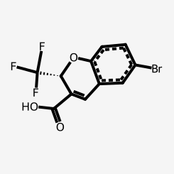 O=C(O)C1=Cc2cc(Br)ccc2O[C@H]1C(F)(F)F